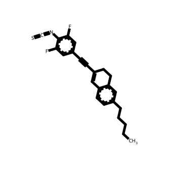 CCCCCc1ccc2c(c1)CCC(C#Cc1cc(F)c(N=C=S)c(F)c1)=C2